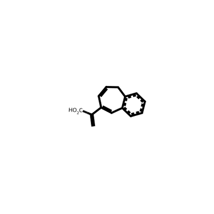 C=C(C(=O)O)C1=Cc2ccccc2CC=C1